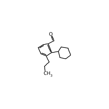 CCCc1cccc(C=O)c1C1CCCCC1